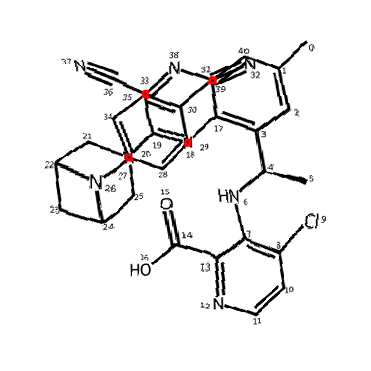 Cc1cc([C@@H](C)Nc2c(Cl)ccnc2C(=O)O)c2nc(N3CC4CC(C3)N4c3ccc(C#N)cc3)c(C#N)nc2c1